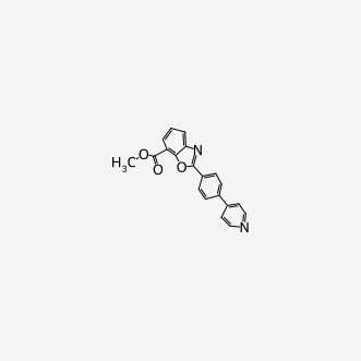 COC(=O)c1cccc2nc(-c3ccc(-c4ccncc4)cc3)oc12